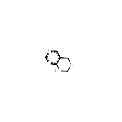 c1pcc2c(p1)NCNC2